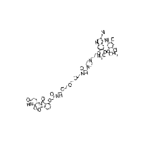 COc1cc(Nc2c(C#N)cnc3cc(OCCCN4CCN(CC(=O)NCCOCCOCCOCCNC(=O)COc5cccc6c5C(=O)N(C5CCC(=O)NC5=O)C6=O)CC4)c(OC)cc23)c(Cl)cc1Cl